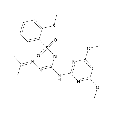 COc1cc(OC)nc(NC(=NN=C(C)C)NS(=O)(=O)c2ccccc2SC)n1